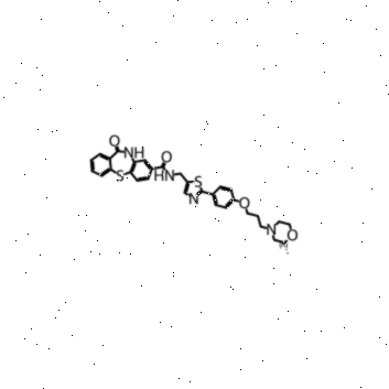 C[C@@H]1CN(CCCOc2ccc(-c3ncc(CNC(=O)c4ccc5c(c4)NC(=O)c4ccccc4S5)s3)cc2)CCO1